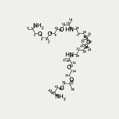 CC(N)COCC(C)OCCOCC(C)NCCC[Si](C)(C)O[Si](C)(C)CCCNC(C)COCCOC(C)COCC(C)N